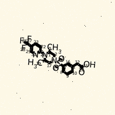 CC1CN(S(=O)(=O)c2cccc(CC(=O)O)c2)CC(C)N1c1ccc(C(F)(F)F)cn1